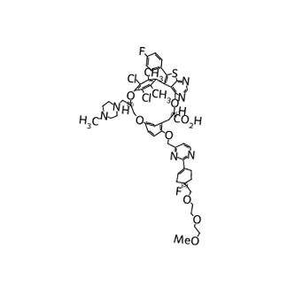 COCCOCCOC[C@@]1(F)CC=C(c2nccc(COc3ccc4cc3C[C@H](C(=O)O)Oc3ncnc5sc(-c6ccc(F)cc6)c(c35)-c3c(C)c(Cl)c(c(Cl)c3C)O[C@H](CN3CCN(C)CC3)CO4)n2)CC1